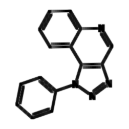 c1ccc(-n2nnc3cnc4ccccc4c32)cc1